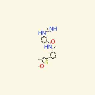 COc1sc(-c2cccc(C(C)NC(=O)c3cc(NC4CNC4)ccc3C)c2)cc1C